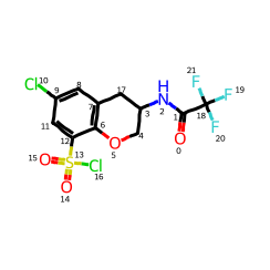 O=C(NC1COc2c(cc(Cl)cc2S(=O)(=O)Cl)C1)C(F)(F)F